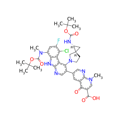 CN(C(=O)OC(C)(C)C)c1cc(F)c(Cl)c2c1[nH]c1ncc(-c3cnc4c(c3)c(=O)c(C(=O)O)cn4C)c(N3CC[C@@]4(C[C@H]4NC(=O)OC(C)(C)C)C3)c12